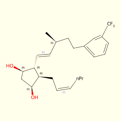 CCC/C=C\C[C@@H]1[C@@H](/C=C/[C@@H](C)CCc2cccc(C(F)(F)F)c2)[C@H](O)C[C@@H]1O